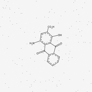 Nc1cc(C(=O)O)c(O)c2c1C(=O)c1ccccc1C2=O